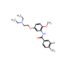 CCN(CC)CCOc1ccc(OC)c(NC(=O)c2ccc(C)c(I)c2)c1